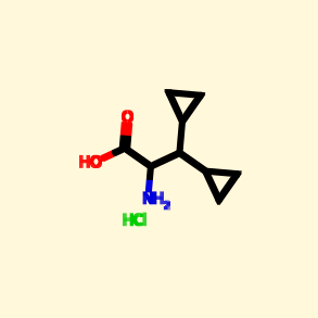 Cl.NC(C(=O)O)C(C1CC1)C1CC1